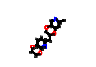 Cc1cc2c(cn1)OCC(Cc1ccc3c(n1)OCCO3)O2